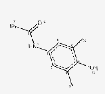 Cc1cc(NC(=O)C(C)C)cc(C)c1O